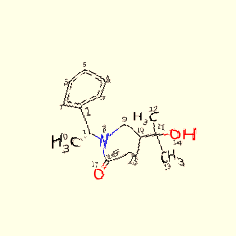 C[C@H](c1ccccc1)N1CC(C(C)(C)O)CC1=O